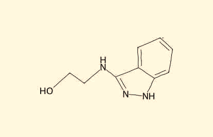 OCCNc1n[nH]c2cc[c]cc12